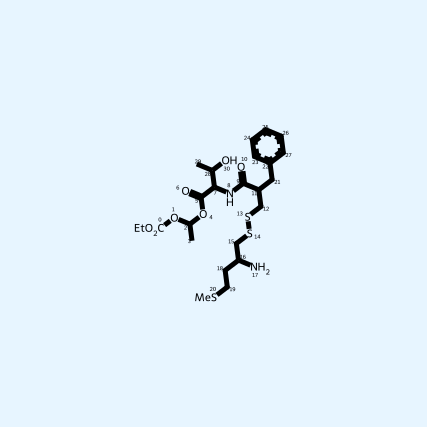 CCOC(=O)OC(C)OC(=O)C(NC(=O)C(CSSCC(N)CCSC)Cc1ccccc1)C(C)O